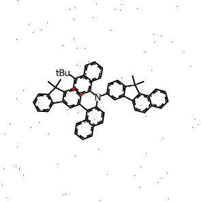 CC(C)(C)c1ccc(N(c2ccc3c(c2)-c2ccc4ccccc4c2C3(C)C)c2ccc3ccccc3c2-c2ccc3c(c2)-c2ccccc2C3(C)C)c2ccccc12